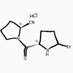 CCC1CC[C@@H](C(=O)N2CCC[C@H]2C#N)N1.Cl